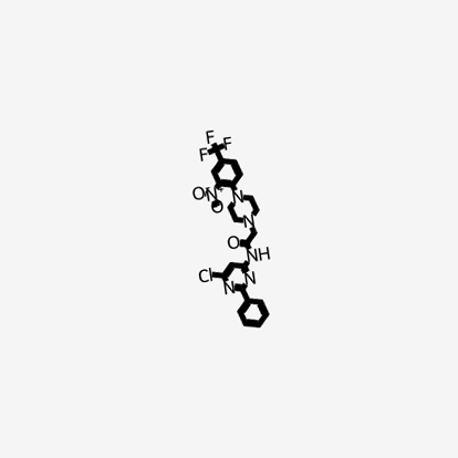 O=C(CN1CCN(c2ccc(C(F)(F)F)cc2[N+](=O)[O-])CC1)Nc1cc(Cl)nc(-c2ccccc2)n1